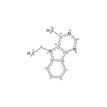 CCn1c2ccccc2c2ncnc(C)c21